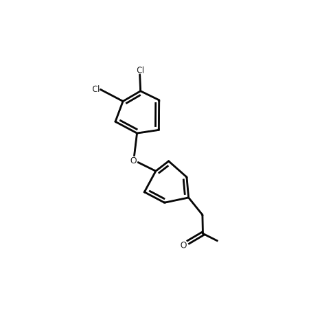 CC(=O)Cc1ccc(Oc2ccc(Cl)c(Cl)c2)cc1